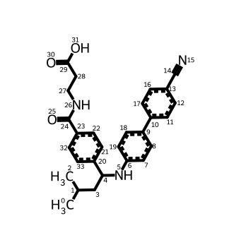 CC(C)CC(Nc1ccc(-c2ccc(C#N)cc2)cc1)c1ccc(C(=O)NCCC(=O)O)cc1